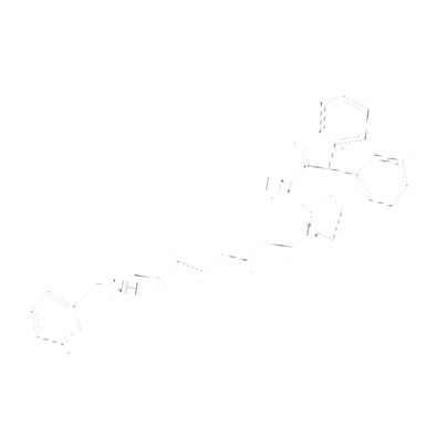 NC(=O)C(c1ccccc1)(c1ccccc1)[C@@H]1CCN(CCCCCCCCNCc2ccccc2)C1